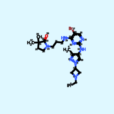 Cc1nn(C2CN(CC(C)C)C2)cc1Nc1ncc(Br)c(NCCCN2CCC(C)(C)C2=O)n1